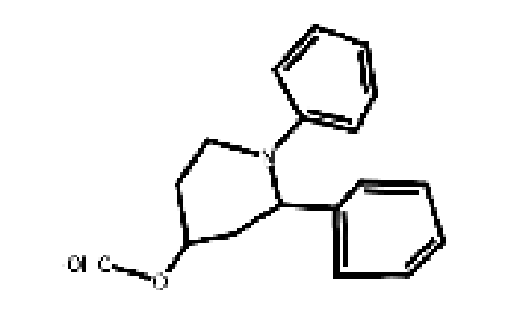 O=[C]OC1CCN(c2ccccc2)C(c2ccccc2)C1